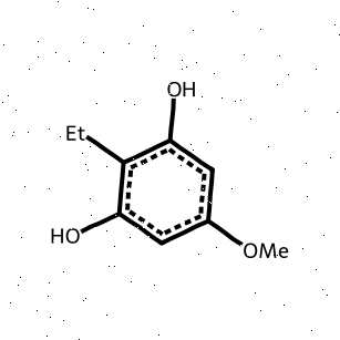 CCc1c(O)cc(OC)cc1O